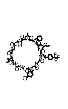 CCO[C@@H]1C[C@H]2C(=O)N(C)[C@@H](Cc3ccccc3)C(=O)N(C)[C@@H](CC(C)C)C(=O)N[C@H](C)CC(=O)N(C)[C@@H](C)C(=O)N[C@@H]([C@@H](C)CC)C(=O)N(C)CC(=O)N(C)CC(=O)N(C)[C@@H](Cc3ccc(Cl)cc3)C(=O)N(C)CC(=O)N[C@@H](CCc3ccc(C(F)(F)F)cc3)C(=O)N2C1